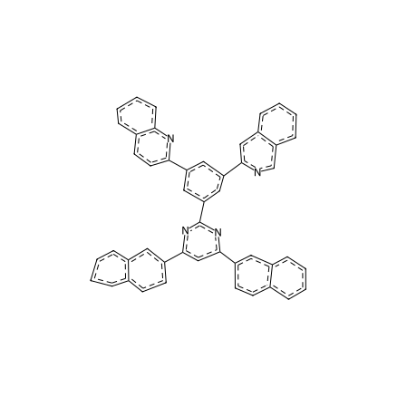 c1ccc2cc(-c3cc(-c4ccc5ccccc5c4)nc(-c4cc(-c5cc6ccccc6cn5)cc(-c5ccc6ccccc6n5)c4)n3)ccc2c1